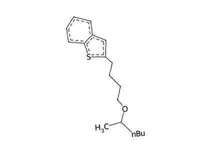 [CH2]CCCC(C)OCCCCc1cc2ccccc2s1